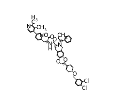 CC[C@@H](c1ccccc1)N1Cc2cc3c(cc2C[C@H]1C(=O)N[C@@H](Cc1ccc(-c2ccnc(C)c2C)cc1)C(=O)O)OC[C@H](C1=CCC(OCc2ccc(Cl)c(Cl)c2)C=C1)O3